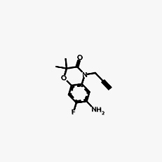 C#CCN1C(=O)C(C)(C)Oc2cc(F)c(N)cc21